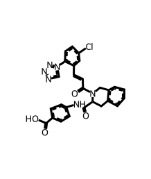 O=C(O)c1ccc(NC(=O)C2Cc3ccccc3CN2C(=O)C=Cc2cc(Cl)ccc2-n2cnnn2)cc1